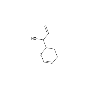 C=CC(O)C1CCC=CO1